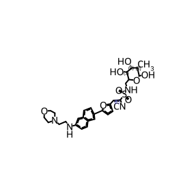 C[C@H]1C(O)OC(CNS(=O)(=O)/C(C#N)=C/c2ccc(-c3ccc4cc(NCCN5CCOCC5)ccc4c3)o2)[C@@H](O)[C@@H]1O